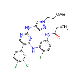 C=CC(=O)Nc1ccc(F)c(Nc2nc(Nc3cnn(CCOC)c3)ncc2-c2ccc(F)c(Cl)c2)c1